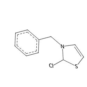 ClC1SC=CN1Cc1ccccc1